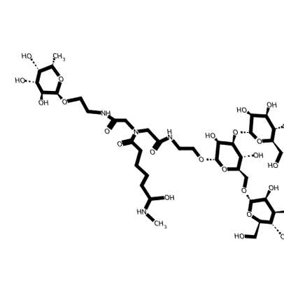 CNC(O)CCCCC(=O)N(CC(=O)NCCO[C@@H]1O[C@@H](C)[C@@H](O)[C@@H](O)[C@@H]1O)CC(=O)NCCO[C@H]1O[C@H](CO[C@H]2O[C@H](CO)[C@@H](O)[C@H](O)[C@@H]2O)[C@@H](O)[C@H](O[C@H]2O[C@H](CO)[C@@H](O)[C@H](O)[C@@H]2O)[C@@H]1O